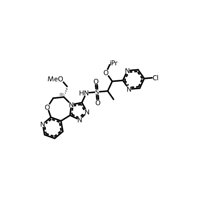 COC[C@H]1COc2ncccc2-c2nnc(NS(=O)(=O)C(C)C(OC(C)C)c3ncc(Cl)cn3)n21